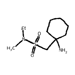 CCN(C)S(=O)(=O)CC1(N)CCCCC1